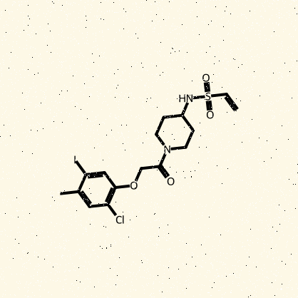 C=CS(=O)(=O)NC1CCN(C(=O)COc2cc(I)c(C)cc2Cl)CC1